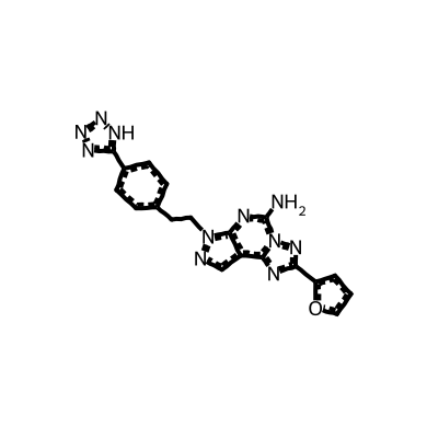 Nc1nc2c(cnn2CCc2ccc(-c3nnn[nH]3)cc2)c2nc(-c3ccco3)nn12